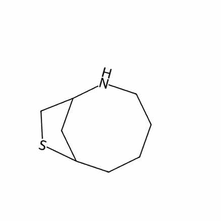 C1CCC2CC(CS2)NC1